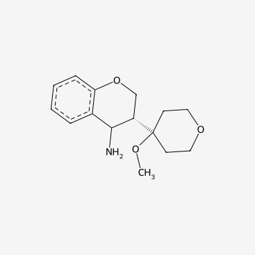 COC1([C@H]2COc3ccccc3C2N)CCOCC1